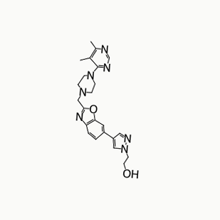 Cc1ncnc(N2CCN(Cc3nc4ccc(-c5cnn(CCO)c5)cc4o3)CC2)c1C